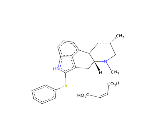 C[C@H]1CC2c3cccc4[nH]c(Sc5ccccc5)c(c34)C[C@H]2N(C)C1.O=C(O)/C=C\C(=O)O